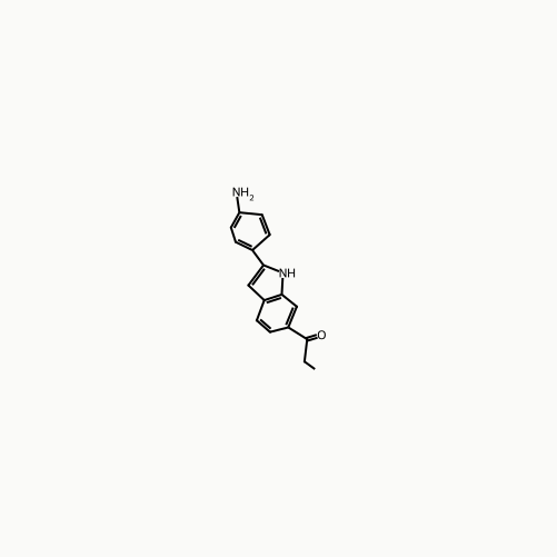 CCC(=O)c1ccc2cc(-c3ccc(N)cc3)[nH]c2c1